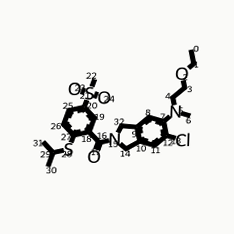 CCOCCN(C)c1cc2c(cc1Cl)CN(C(=O)c1cc(S(C)(=O)=O)ccc1SC(C)C)C2